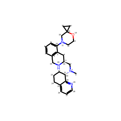 CN(C[C@@H]1Cc2c(cccc2N2CCOC3(CC3)C2)CN1)[C@H]1CCCc2cccnc21